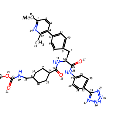 COc1ccc(-c2ccc(C[C@H](NC(=O)C3CCC(CNC(=O)OC(C)(C)C)CC3)C(=O)Nc3ccc(-c4nn[nH]n4)cc3)cc2)c(C)n1